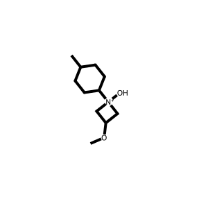 COC1C[N+](O)(C2CCC(C)CC2)C1